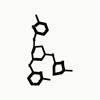 Cc1cccc(SC2=CC(Sc3cccc(C)n3)CC(Sc3cccc(C)n3)=C2)n1